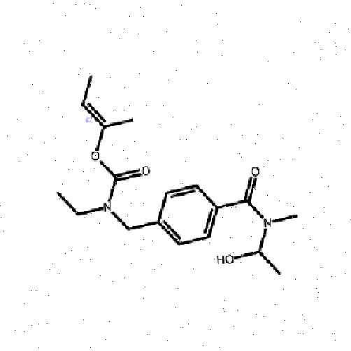 C/C=C(\C)OC(=O)N(CC)Cc1ccc(C(=O)N(C)C(C)O)cc1